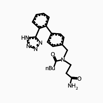 CCCCC(=O)N(CCC(N)=O)Cc1ccc(-c2ccccc2-c2nnn[nH]2)cc1